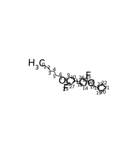 CCCCCCCOc1ccc(-c2ccc(OCc3ccccc3)c(F)c2)cc1F